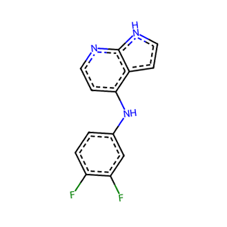 Fc1ccc(Nc2ccnc3[nH]ccc23)cc1F